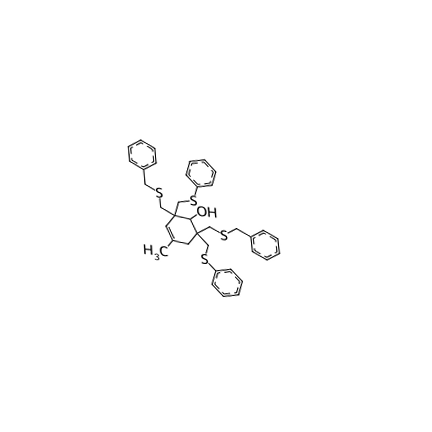 CC1=CC(CSCc2ccccc2)(CSc2ccccc2)C(O)C(CSCc2ccccc2)(CSc2ccccc2)C1